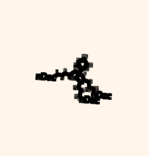 CCCCCCCCCCCCCCCC(CCCCCCCCCCCCCCC)(CCCCCCCCCCCCCCC)c1ccccc1